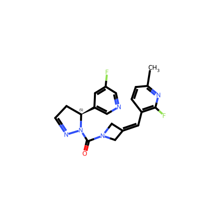 Cc1ccc(C=C2CN(C(=O)N3N=CC[C@H]3c3cncc(F)c3)C2)c(F)n1